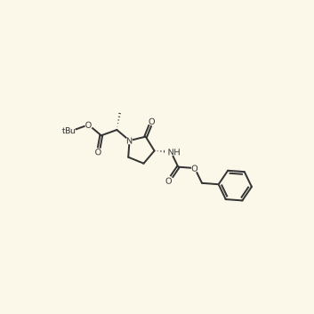 C[C@@H](C(=O)OC(C)(C)C)N1CC[C@@H](NC(=O)OCc2ccccc2)C1=O